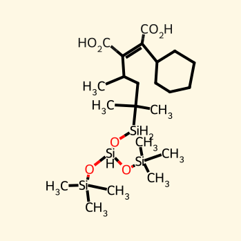 CC(CC(C)(C)[SiH2]O[SiH](O[Si](C)(C)C)O[Si](C)(C)C)C(C(=O)O)=C(C(=O)O)C1CCCCC1